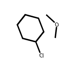 COC.ClC1CCCCC1